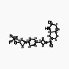 O=C1COC2CCN(C(=O)N3CC(c4ccc(N5CC(OC(F)(F)F)C5)cc4)C3)CC2N1